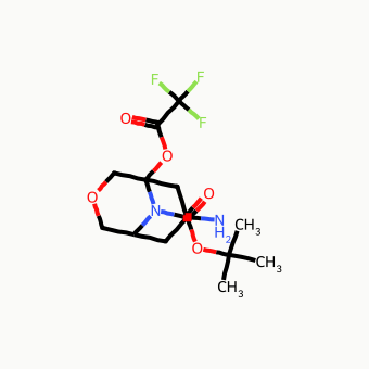 CC(C)(C)OC(=O)N1C2COCC1(OC(=O)C(F)(F)F)CC(N)C2